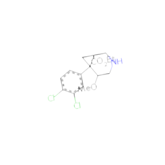 CCOC(=O)C12CNCC(OC)C1(c1ccc(Cl)c(Cl)c1)C2